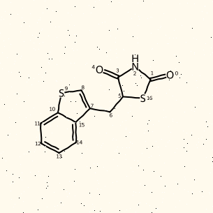 O=C1NC(=O)C(Cc2csc3ccccc23)S1